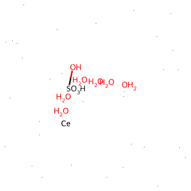 O.O.O.O.O.O.O=S(=O)(O)O.[Ce]